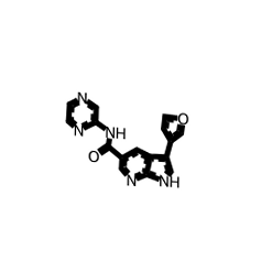 O=C(Nc1cnccn1)c1cnc2[nH]cc(-c3ccoc3)c2c1